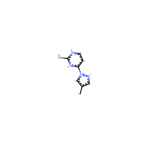 Cc1cnn(-c2ccnc(Cl)n2)c1